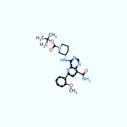 COc1ccccc1-c1cc(C(N)=O)c2ncnc(N[C@H]3CCCN(C(=O)OC(C)(C)C)C3)c2n1